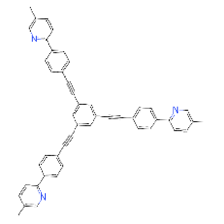 Cc1ccc(-c2ccc(C#Cc3cc(C#Cc4ccc(-c5ccc(C)cn5)cc4)cc(C#Cc4ccc(-c5ccc(C)cn5)cc4)c3)cc2)nc1